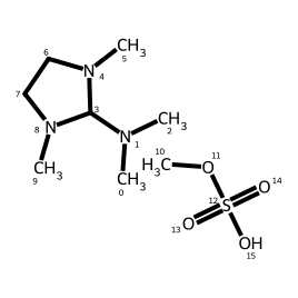 CN(C)C1N(C)CCN1C.COS(=O)(=O)O